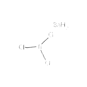 [BaH2].[Cl][Ti]([Cl])[Cl]